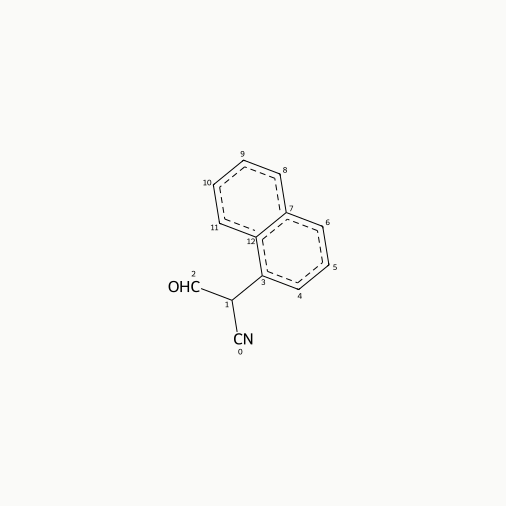 N#CC(C=O)c1cccc2ccccc12